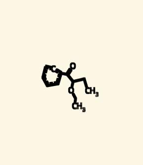 CCOC(CC)C(=O)c1ccccc1